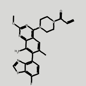 C=CC(=O)N1CCN(c2nc(OC)nc3c(P)c(-c4ccc(F)c5scnc45)c(C)cc23)CC1